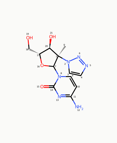 C[C@]1(n2ccnn2)C(n2ccc(N)nc2=O)O[C@H](CO)[C@H]1O